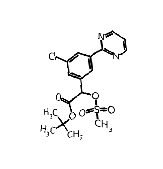 CC(C)(C)OC(=O)C(OS(C)(=O)=O)c1cc(Cl)cc(-c2ncccn2)c1